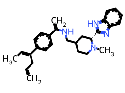 C=CC/C(=C\C)c1ccc(C(=C)NCC2CCN(C)[C@@H](c3nc4ccccc4[nH]3)C2)cc1